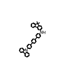 CC1(C)c2ccccc2-c2cc(Nc3ccc(-c4ccc(-c5ccc(-n6c7ccccc7c7ccccc76)cc5)cc4)cc3)ccc21